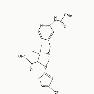 COC(=O)Nc1cc(CN2CN(c3cc(C(F)(F)F)cs3)C(C(=O)C=O)C2(C)C)ccn1